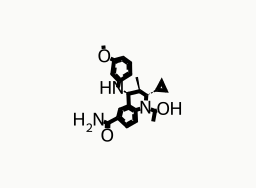 COc1cccc(N[C@H]2c3cc(C(N)=O)ccc3N(C(C)O)[C@@H](C3CC3)[C@@H]2C)c1